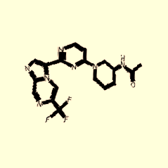 CC(=O)NC1CCCN(c2ccnc(-c3cnc4cnc(C(F)(F)F)cn34)n2)C1